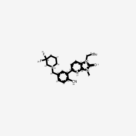 Cn1c(=O)n(CC(C)(C)C)c2ccc(-c3cc(CN4CCCC(F)(F)C4)ccc3C#N)nc21